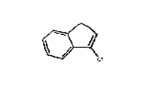 ClC1=CCc2ccccc21